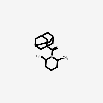 CC1CCCC(C)N1C(=O)C12CC3CC(CC(C3)C1)C2